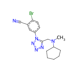 CN(Cc1nnnn1-c1ccc(Br)c(C#N)c1)C1CCCCC1